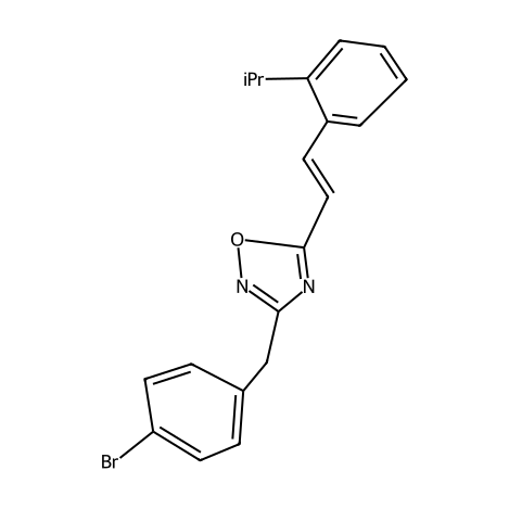 CC(C)c1ccccc1/C=C/c1nc(Cc2ccc(Br)cc2)no1